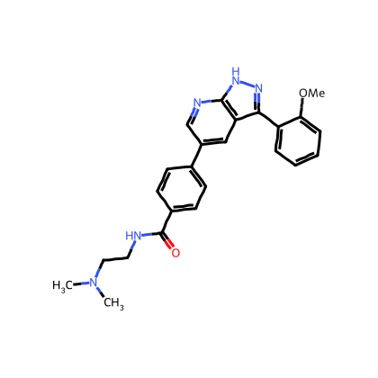 COc1ccccc1-c1n[nH]c2ncc(-c3ccc(C(=O)NCCN(C)C)cc3)cc12